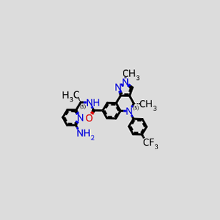 C[C@H](NC(=O)c1ccc2c(c1)-c1nn(C)cc1[C@H](C)N2c1ccc(C(F)(F)F)cc1)c1cccc(N)n1